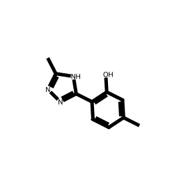 Cc1c[c]c(-c2nnc(C)[nH]2)c(O)c1